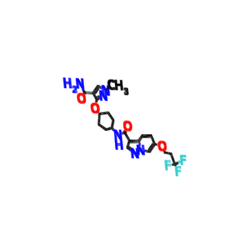 Cn1cc(C(N)=O)c(OC2CCC(NC(=O)c3cnn4cc(OCCC(F)(F)F)ccc34)CC2)n1